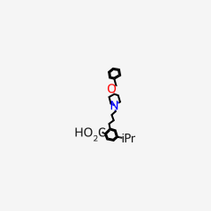 CC(C)c1ccc(C(=O)O)c(CCCCN2CCC(OCc3ccccc3)CC2)c1